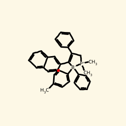 Cc1ccc([B-]2(c3ccccc3)C(c3ccc4ccccc4c3)=C(c3ccccc3)C[P+]2(C)C)cc1